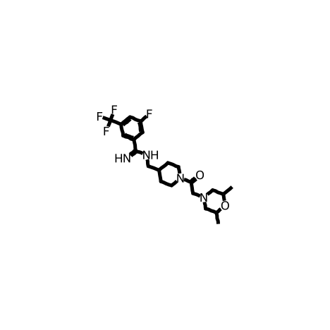 CC1CN(CC(=O)N2CCC(CNC(=N)c3cc(F)cc(C(F)(F)F)c3)CC2)CC(C)O1